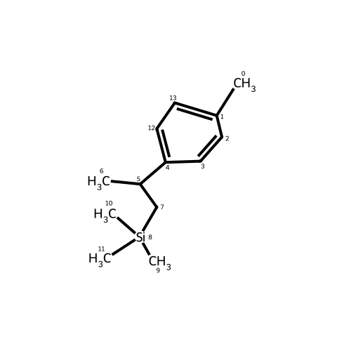 Cc1ccc(C(C)C[Si](C)(C)C)cc1